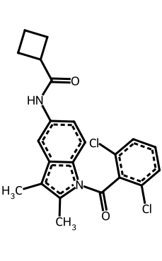 Cc1c(C)n(C(=O)c2c(Cl)cccc2Cl)c2ccc(NC(=O)C3CCC3)cc12